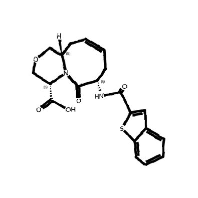 O=C(N[C@H]1CC=CC[C@H]2COC[C@@H](C(=O)O)N2C1=O)c1cc2ccccc2s1